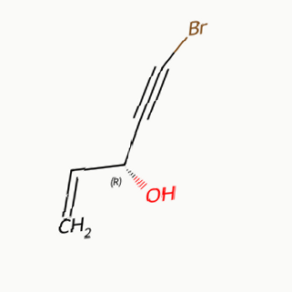 C=C[C@@H](O)C#CBr